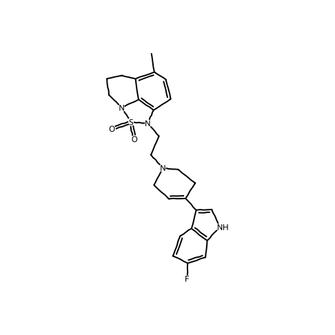 Cc1ccc2c3c1CCCN3S(=O)(=O)N2CCN1CC=C(c2c[nH]c3cc(F)ccc23)CC1